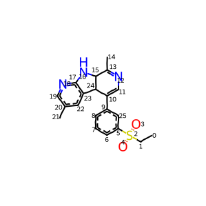 CCS(=O)(=O)c1cccc(C2=CN=C(C)C3Nc4ncc(C)cc4C23)c1